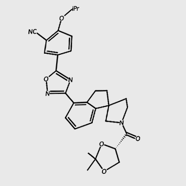 CC(C)Oc1ccc(-c2nc(-c3cccc4c3CCC43CCN(C(=O)[C@@H]4COC(C)(C)O4)C3)no2)cc1C#N